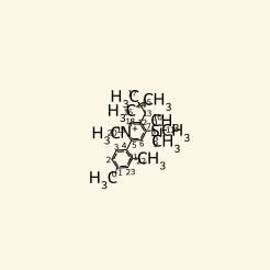 Cc1ccc(-c2cc([Si](C)(C)C)c(CC(C)(C)C)c[n+]2C)c(C)c1